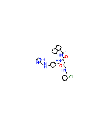 C[C@H](NC(=O)[C@H](CCCNCc1ccccc1Cl)NC(=O)c1ccc(CNCc2ncc[nH]2)cc1)c1cccc2ccccc12